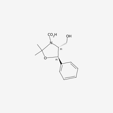 CC1(C)O[C@H](c2ccccc2)[C@@H](CO)N1C(=O)O